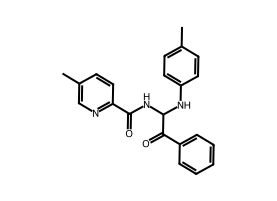 Cc1ccc(NC(NC(=O)c2ccc(C)cn2)C(=O)c2ccccc2)cc1